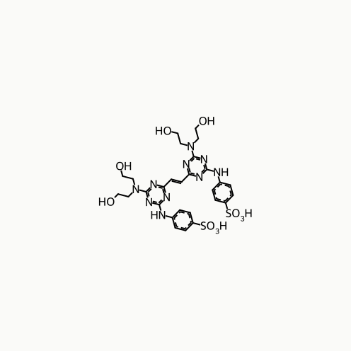 O=S(=O)(O)c1ccc(Nc2nc(C=Cc3nc(Nc4ccc(S(=O)(=O)O)cc4)nc(N(CCO)CCO)n3)nc(N(CCO)CCO)n2)cc1